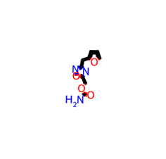 NC(=O)OCc1nc(Cc2ccco2)no1